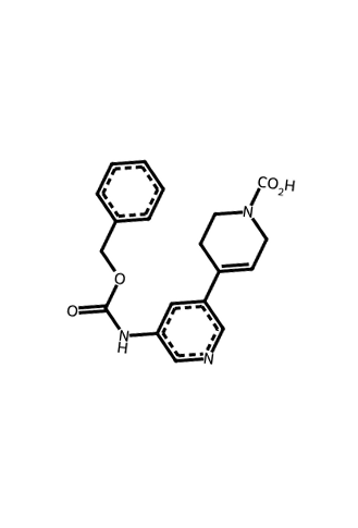 O=C(Nc1cncc(C2=CCN(C(=O)O)CC2)c1)OCc1ccccc1